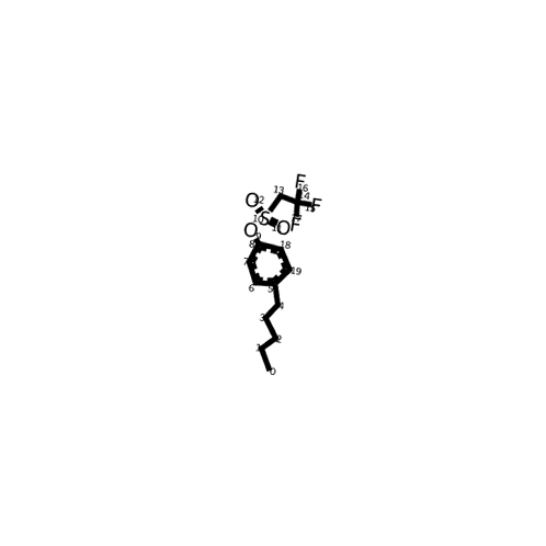 CCCCCc1ccc(OS(=O)(=O)CC(F)(F)F)cc1